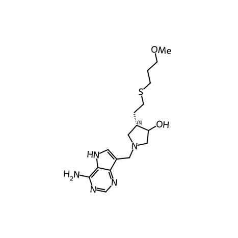 COCCCSCC[C@H]1CN(Cc2c[nH]c3c(N)ncnc23)CC1O